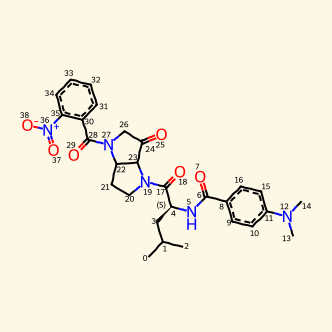 CC(C)C[C@H](NC(=O)c1ccc(N(C)C)cc1)C(=O)N1CCC2C1C(=O)CN2C(=O)c1ccccc1[N+](=O)[O-]